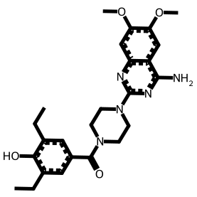 CCc1cc(C(=O)N2CCN(c3nc(N)c4cc(OC)c(OC)cc4n3)CC2)cc(CC)c1O